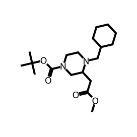 COC(=O)CC1CN(C(=O)OC(C)(C)C)CCN1CC1CCCCC1